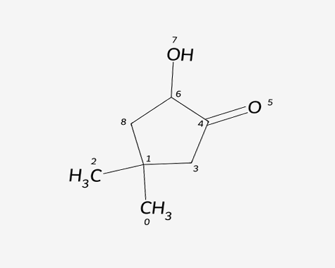 CC1(C)CC(=O)C(O)C1